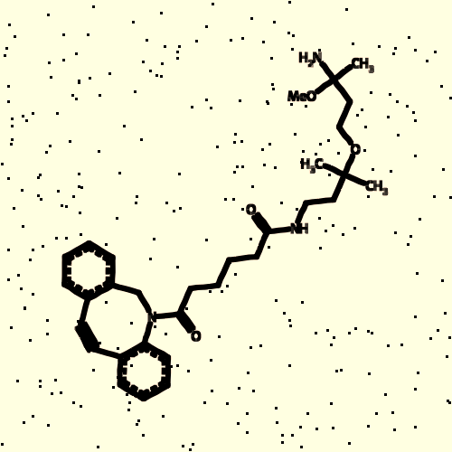 COC(C)(N)CCOC(C)(C)CCNC(=O)CCCCC(=O)N1Cc2ccccc2C#Cc2ccccc21